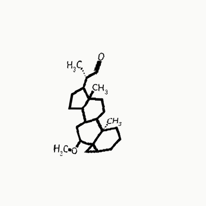 COC1CC2C3CCC([C@H](C)C=O)C3(C)CCC2[C@@]2(C)CCCC3CC312